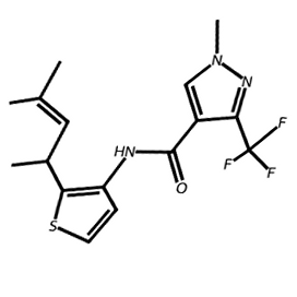 CC(C)=CC(C)c1sccc1NC(=O)c1cn(C)nc1C(F)(F)F